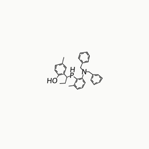 CCC(Pc1c(C)cccc1N(Cc1ccccc1)Cc1ccccc1)c1cc(C)ccc1O